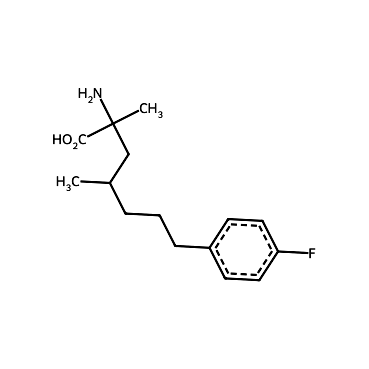 CC(CCCc1ccc(F)cc1)CC(C)(N)C(=O)O